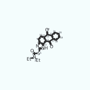 CCN(CC)C(=O)Sc1nc2ccc3c(c2[nH]1)C(=O)c1ccccc1C3=O